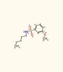 CCCCCNS(=O)(=O)c1cccc(OC)c1